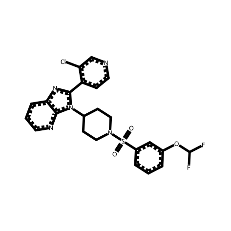 O=S(=O)(c1cccc(OC(F)F)c1)N1CCC(n2c(-c3ccncc3Cl)nc3cccnc32)CC1